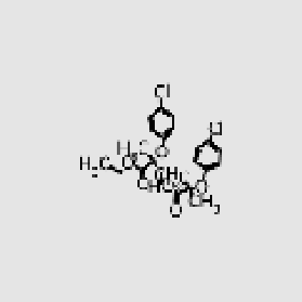 CC(C)(Oc1ccc(Cl)cc1)C(=O)O.CCOC(=O)C(C)(C)Oc1ccc(Cl)cc1